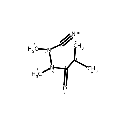 CC(C)C(=O)N(C)N(C)C#N